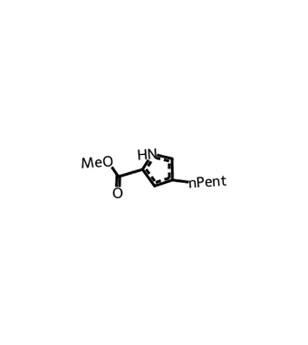 CCCCCc1c[nH]c(C(=O)OC)c1